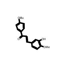 COc1ccc(/C=C/C(=O)c2ccc(OCC(C)C)cc2)cc1O